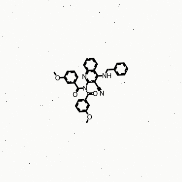 COc1cccc(C(=O)N(C(=O)c2cccc(OC)c2)c2nc3ccccc3c(NCc3ccccc3)c2C#N)c1